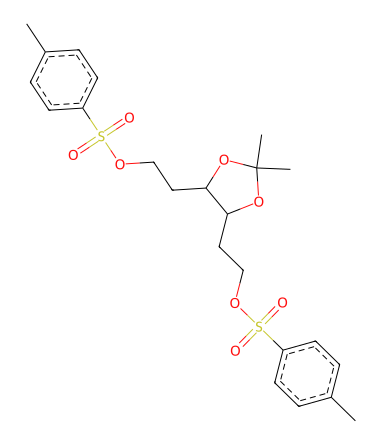 Cc1ccc(S(=O)(=O)OCCC2OC(C)(C)OC2CCOS(=O)(=O)c2ccc(C)cc2)cc1